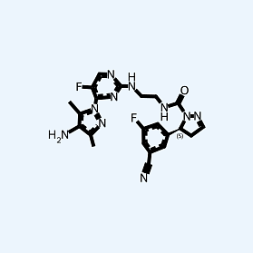 Cc1nn(-c2nc(NCCNC(=O)N3N=CC[C@H]3c3cc(F)cc(C#N)c3)ncc2F)c(C)c1N